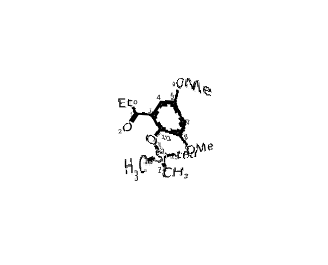 CCC(=O)c1cc(OC)cc(OC)c1O[Si](C)(C)C(C)(C)C